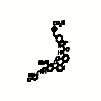 COc1nc(-c2ccnc(-c3cccc(NC(=O)c4nc5c(n4C)CCN(CC46CC(C(=O)O)(C4)C6)C5)c3Cl)c2Cl)ccc1CNC[C@@H]1CCC(=O)N1